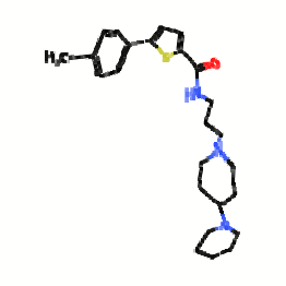 Cc1ccc(-c2ccc(C(=O)NCCCN3CCC(N4CCCCC4)CC3)s2)cc1